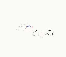 C=C[C@@H]1C[C@]1(C)C(=O)NS(=O)(=O)c1ccc2c(c1)OC(c1ccccc1)CC2